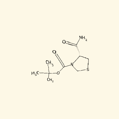 CC(C)(C)OC(=O)N1CSC[C@H]1C(N)=O